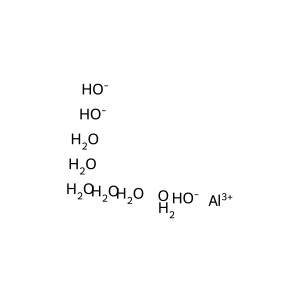 O.O.O.O.O.O.[Al+3].[OH-].[OH-].[OH-]